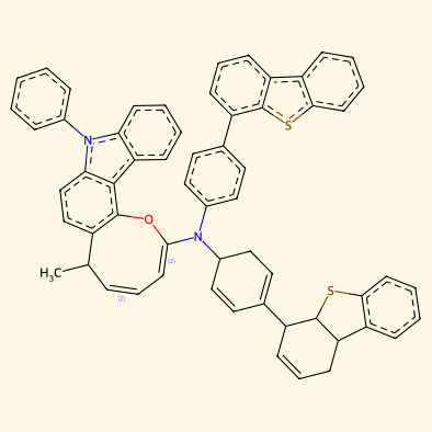 CC1/C=C\C=C(\N(c2ccc(-c3cccc4c3sc3ccccc34)cc2)C2C=CC(C3C=CCC4c5ccccc5SC34)=CC2)Oc2c1ccc1c2c2ccccc2n1-c1ccccc1